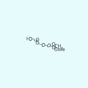 COC(C)OC(=O)c1ccc(-c2ccc(CCOC(=O)/C=C/c3ccc(I)cc3)cc2)cc1